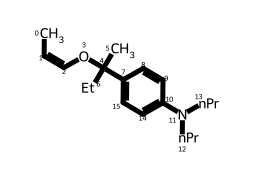 C/C=C\OC(C)(CC)c1ccc(N(CCC)CCC)cc1